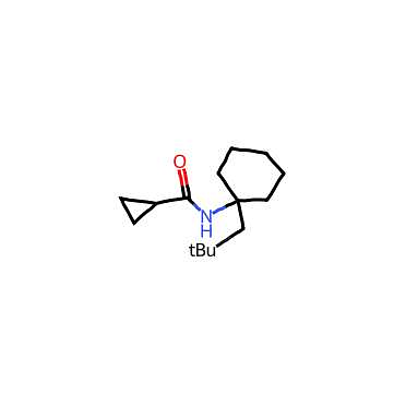 CC(C)(C)CC1(NC(=O)C2CC2)CCCCC1